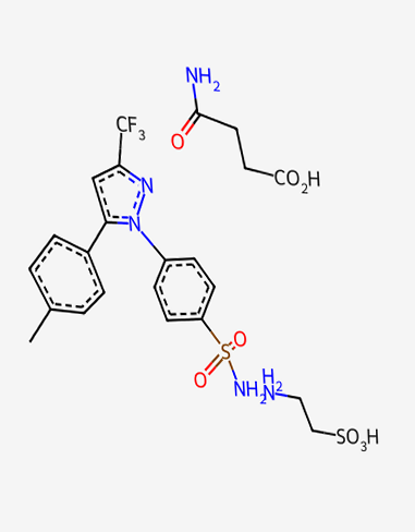 Cc1ccc(-c2cc(C(F)(F)F)nn2-c2ccc(S(N)(=O)=O)cc2)cc1.NC(=O)CCC(=O)O.NCCS(=O)(=O)O